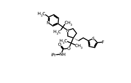 Cc1ccc(C(C)(C)N2CC[C@@](CCc3ccc(F)s3)(C(C)(C)OC(=O)NC(C)C)C2)cn1